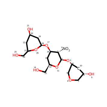 O=[N+]([O-])[C@@H]1[C@@H](O[C@H]2COC[C@@H](O)C2)O[C@@H](CO)C[C@H]1O[C@@H]1C[C@H](O)CC(CO)O1